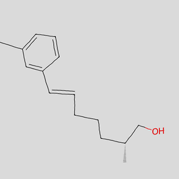 CCc1cccc(/C=C/CCC[C@@H](C)CO)c1